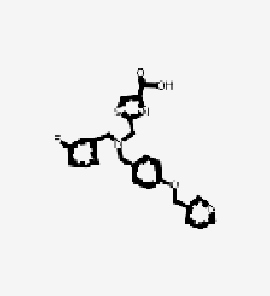 O=C(O)c1csc(CN(Cc2ccc(OCc3cccnc3)cc2)Cc2cccc(F)c2)n1